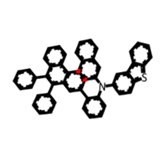 c1ccc(-c2c(-c3ccccc3)c3cc(-c4ccccc4N(c4ccc5ccccc5c4)c4ccc5sc6ccccc6c5c4)ccc3c3ccccc23)cc1